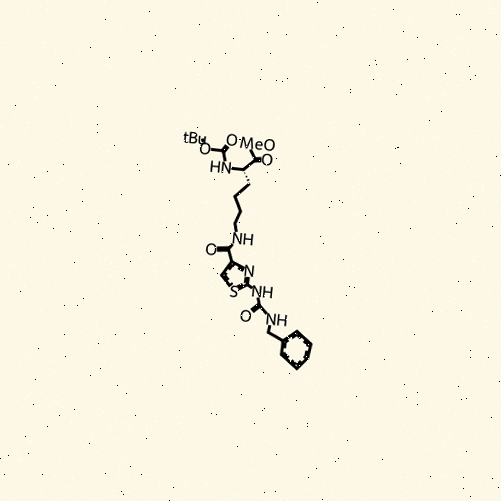 COC(=O)[C@H](CCCCNC(=O)c1csc(NC(=O)NCc2ccccc2)n1)NC(=O)OC(C)(C)C